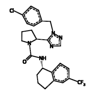 O=C(N[C@H]1CCCc2cc(C(F)(F)F)ccc21)N1CCCC1c1ncnn1Cc1ccc(Cl)cc1